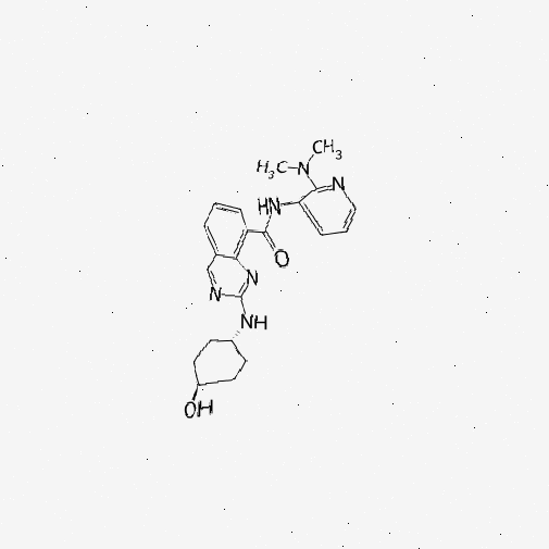 CN(C)c1ncccc1NC(=O)c1cccc2cnc(N[C@H]3CC[C@H](O)CC3)nc12